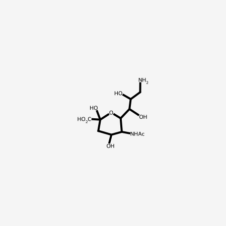 CC(=O)NC1C(O)CC(O)(C(=O)O)OC1C(O)C(O)CN